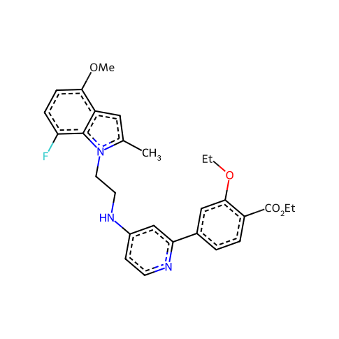 CCOC(=O)c1ccc(-c2cc(NCCn3c(C)cc4c(OC)ccc(F)c43)ccn2)cc1OCC